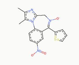 Cc1nc2n(c1C)-c1ccc([N+](=O)[O-])cc1C(c1cccs1)=[N+]([O-])C2